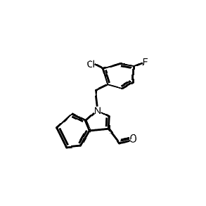 O=Cc1cn(Cc2ccc(F)cc2Cl)c2ccccc12